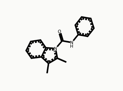 Cc1c(C)n(C(=O)Nc2ccccc2)c2ccccc12